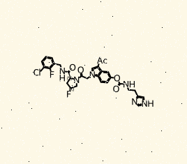 CC(=O)c1cn(CC(=O)N2C[C@H](F)C[C@H]2C(=O)NCc2cccc(Cl)c2F)c2ccc(OC(=O)NCCc3c[nH]cn3)cc12